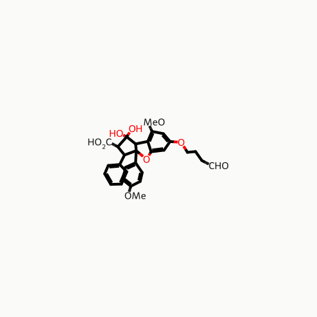 COc1ccc(C23Oc4cc(OCCCC=O)cc(OC)c4C2C(O)(O)C(C(=O)O)C3c2ccccc2)cc1